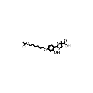 CC(=O)OCCCCCCOc1ccc(C2=NC(C)(C(=O)O)CS2)c(O)c1